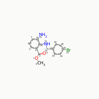 COC(=O)c1cccc(N)c1NCc1ccc(Br)cc1